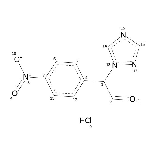 Cl.O=CC(c1ccc([N+](=O)[O-])cc1)n1cncn1